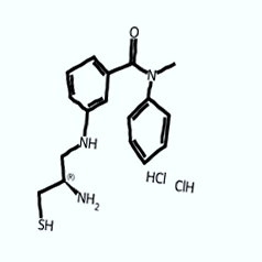 CN(C(=O)c1cccc(NC[C@@H](N)CS)c1)c1ccccc1.Cl.Cl